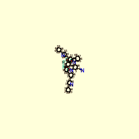 N#Cc1cc(-n2c3ccccc3c3cc(-c4ccc(-c5ccccc5)nc4)ccc32)c(-c2c(F)c(F)c(F)c(F)c2F)c(-n2c3ccccc3c3cc(-c4ccc(-c5ccccc5)nc4)ccc32)c1